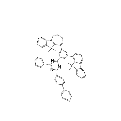 CC1(C)C2=C(C=CCC=C2c2cc(-c3nc(-c4ccccc4)nc(-c4ccc(-c5ccccc5)cc4)n3)cc(-c3cccc4c3C(C)(C)c3ccccc3-4)c2)c2ccccc21